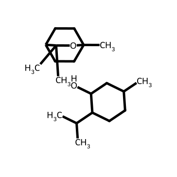 CC12CCC(CC1)C(C)(C)O2.CC1CCC(C(C)C)C(O)C1